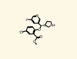 COC(=O)c1cc(Cl)ccc1OC(c1cncc(F)c1)[C@H]1CCNC1